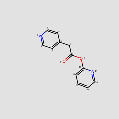 O=C(Cc1ccncc1)Oc1ccccn1